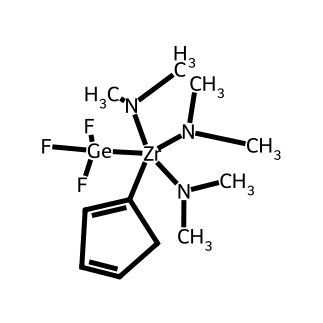 C[N](C)[Zr]([C]1=CC=CC1)([N](C)C)([N](C)C)[Ge]([F])([F])[F]